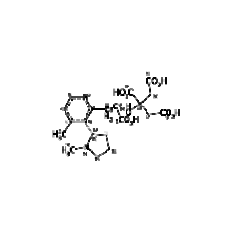 CC(=O)O.Cc1ccnc(C)c1[C@@H]1CCCN1C.O=C(O)CC(O)(CC(=O)O)C(=O)O